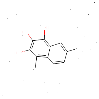 Cc1ccc2c(C(=O)O)c(O)c(O)c(O)c2c1